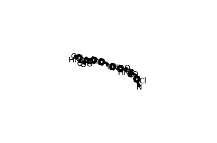 CC1(C)C(NC(=O)c2ccc(N3CCN(CCC4CCN(c5ccc6c7c(oc6c5)C(=O)N(C5CCC(=O)NC5=O)C7)CC4)CC3)cc2)C(C)(C)C1Oc1ccc(C#N)c(Cl)c1